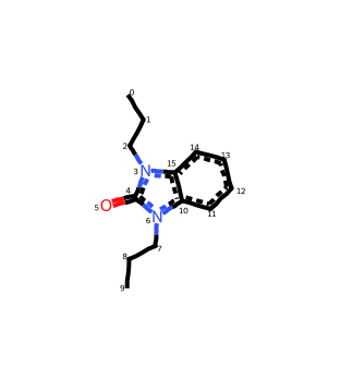 CCCn1c(=O)n(CCC)c2ccccc21